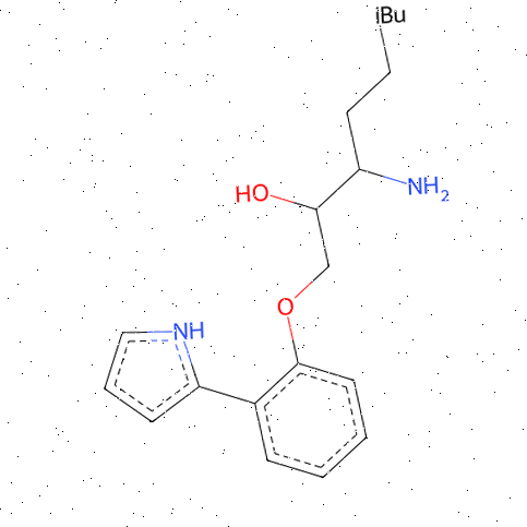 CCC(C)CCC(N)C(O)COc1ccccc1-c1ccc[nH]1